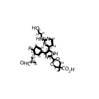 CC1(C(=O)O)COC(c2nc(-c3ccc(F)cc3)c(-c3ccnc(NCCO)n3)[nH]2)OC1.CN(C)C=O